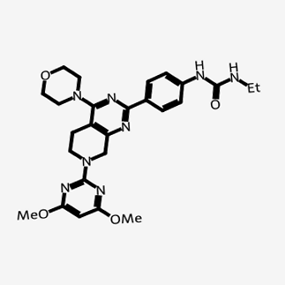 CCNC(=O)Nc1ccc(-c2nc3c(c(N4CCOCC4)n2)CCN(c2nc(OC)cc(OC)n2)C3)cc1